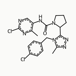 Cc1nc(Cl)ncc1NC(=O)N1CCCC1c1nnc(C)n1Cc1ccc(Cl)cc1